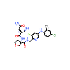 N=C/C(=C\C(N)=O)C(=O)N[C@@]1(C(=O)NCc2ncc(Nc3ccc(Cl)cc3C(F)(F)F)cc2F)CCOC1